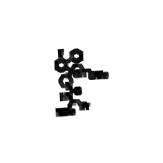 CNC[C@H](CC(C)C)NC(=O)N1CCC[C@@H]([C@@](O)(CCCCOC)c2cccc(F)c2-c2ccccc2)C1